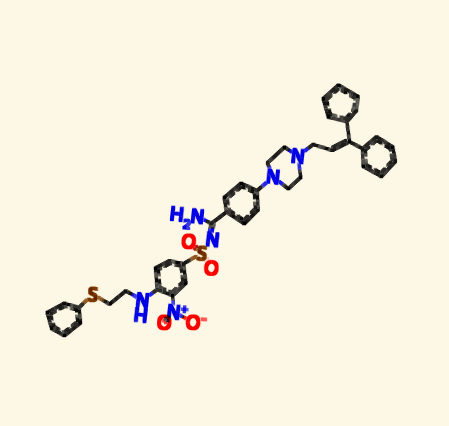 NC(=NS(=O)(=O)c1ccc(NCCSc2ccccc2)c([N+](=O)[O-])c1)c1ccc(N2CCN(CC=C(c3ccccc3)c3ccccc3)CC2)cc1